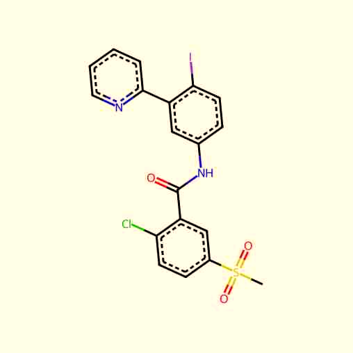 CS(=O)(=O)c1ccc(Cl)c(C(=O)Nc2ccc(I)c(-c3ccccn3)c2)c1